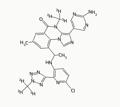 [2H]C([2H])([2H])n1nnc(-c2nc(Cl)ccc2NC(C)c2cc(C)cc3c(=O)n(C([2H])([2H])[2H])c4c(-c5cnc(N)nc5)ncn4c23)n1